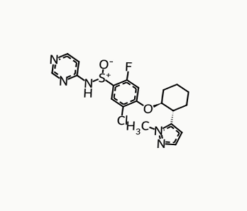 Cn1nccc1[C@H]1CCCC[C@@H]1Oc1cc(F)c([S+]([O-])Nc2ccncn2)cc1Cl